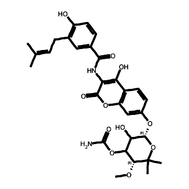 CO[C@@H]1C(OC(N)=O)C(O)[C@H](Oc2ccc3c(O)c(NC(=O)c4ccc(O)c(CC=C(C)C)c4)c(=O)oc3c2)OC1(C)C